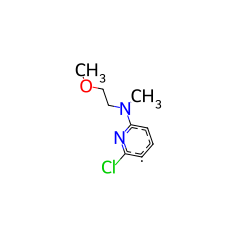 COCCN(C)c1cc[c]c(Cl)n1